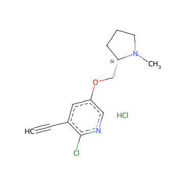 C#Cc1cc(OC[C@@H]2CCCN2C)cnc1Cl.Cl